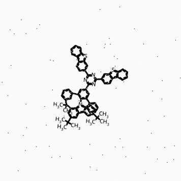 CC(C)(C)c1ccc2c(c1)c1cc(C(C)(C)C)cc3c1n2-c1c(-c2ccccc2)cc(-c2nc(-c4ccc5c(c4)sc4ccccc45)nc(-c4ccc5c(c4)sc4ccccc45)n2)cc1-c1cccc(c1)C3(C)C